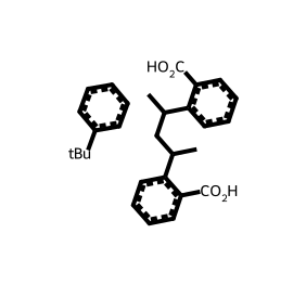 CC(C)(C)c1ccccc1.CC(CC(C)c1ccccc1C(=O)O)c1ccccc1C(=O)O